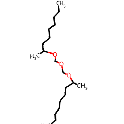 CCCCCCCC(C)OCOCOC(C)CCCCCCC